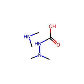 CN(C)NC(=O)O.CNC